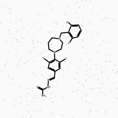 NC(=S)N/N=C/c1cc(F)c(N2CCCN(Cc3c(F)cccc3Cl)CC2)c(F)c1